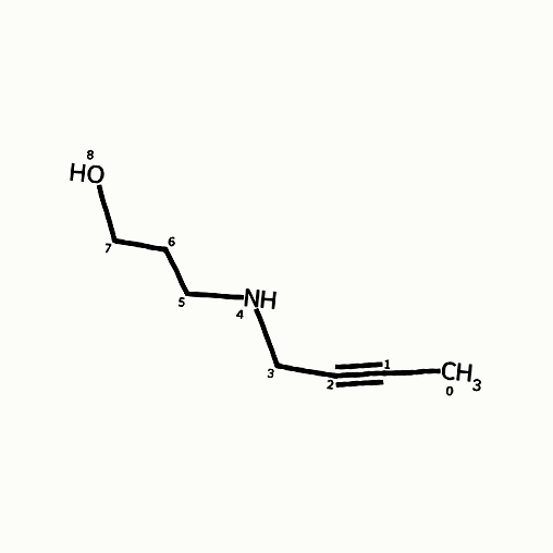 CC#CCNCCCO